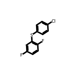 Fc1[c]c(Sc2ccc(Cl)cc2)c(F)cc1